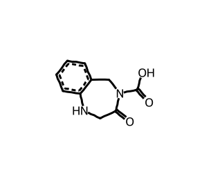 O=C(O)N1Cc2ccccc2NCC1=O